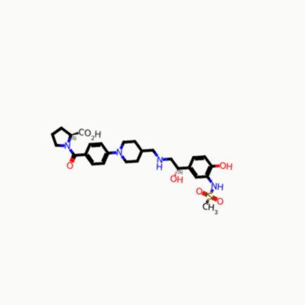 CS(=O)(=O)Nc1cc([C@H](O)CNCC2CCN(c3ccc(C(=O)N4CCC[C@H]4C(=O)O)cc3)CC2)ccc1O